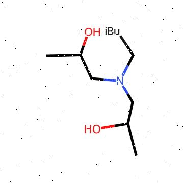 CCC(C)CN(CC(C)O)CC(C)O